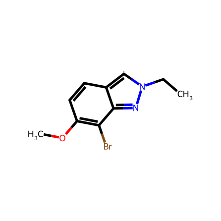 CCn1[c]c2ccc(OC)c(Br)c2n1